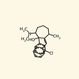 CC1CCCC(N(C)C)C(O)(c2cccc(Cl)c2)C1=Cc1ccccc1